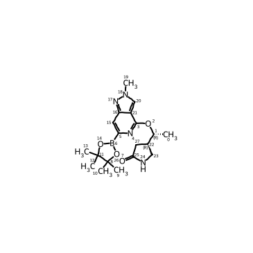 C[C@@H](Oc1nc(B2OC(C)(C)C(C)(C)O2)cc2nn(C)cc12)[C@H]1CNC(=O)C1